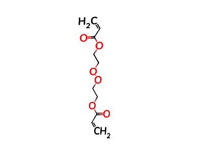 C=CC(=O)OCCOOCCOC(=O)C=C